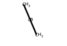 CCCCCCCCCC=CCCCCCCCCCCCCCC(=O)OCCCCCCCCCCCCCCCCCCCCCCCCC